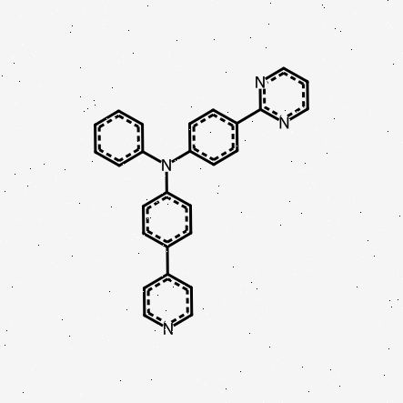 c1ccc(N(c2ccc(-c3ccncc3)cc2)c2ccc(-c3ncccn3)cc2)cc1